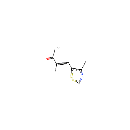 COC(=O)/C(C#N)=C/c1scnc1C